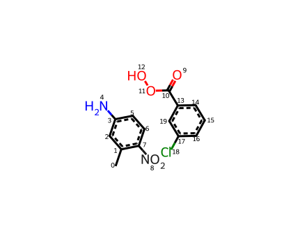 Cc1cc(N)ccc1[N+](=O)[O-].O=C(OO)c1cccc(Cl)c1